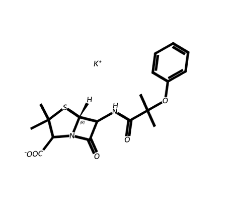 CC(C)(Oc1ccccc1)C(=O)NC1C(=O)N2C(C(=O)[O-])C(C)(C)S[C@H]12.[K+]